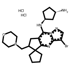 Cl.Cl.N[C@H]1CC[C@H](Nc2c3c(nc4c(Br)cnn24)C2(CCCC2)C(CN2CCOCC2)C3)C1